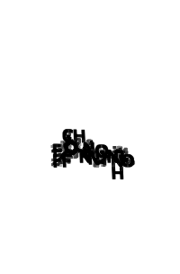 Cc1cc(-c2ncn(/C=C\C(=O)N3CCC(=O)N3)n2)cc(C(F)(F)F)c1